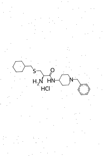 Cl.N[C@@H](CSCC1CCCCC1)C(=O)NC1CCN(Cc2ccccc2)CC1